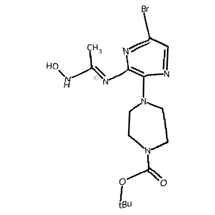 C/C(=N\c1nc(Br)cnc1N1CCN(C(=O)OC(C)(C)C)CC1)NO